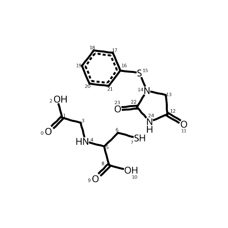 O=C(O)CNC(CS)C(=O)O.O=C1CN(Sc2ccccc2)C(=O)N1